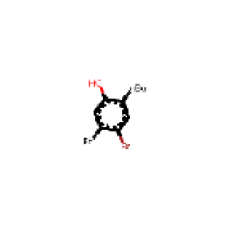 CCCCc1cc(Br)c(CC)cc1O